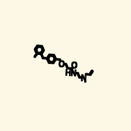 C=CCN(C)CCNC(=O)CCOCc1ccc(Cc2ccccc2C)cc1